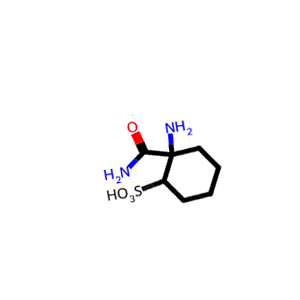 NC(=O)C1(N)CCCCC1S(=O)(=O)O